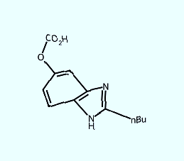 CCCCc1nc2cc(OC(=O)O)ccc2[nH]1